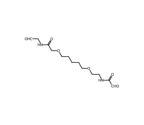 O=CCNC(=O)COCCCCCOCCNC(=O)C=O